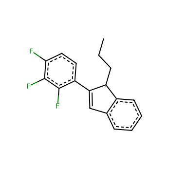 CCC[C]1C(c2ccc(F)c(F)c2F)=Cc2ccccc21